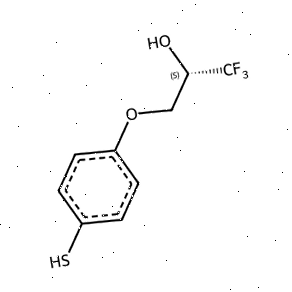 O[C@@H](COc1ccc(S)cc1)C(F)(F)F